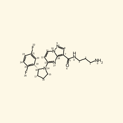 NCCCNC(=O)c1cnn2ccc(N3CCC[C@@H]3c3cc(F)ccc3F)nc12